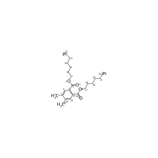 Cc1cc(C(=O)OCCCCCC(C)C)c(C(=O)OCCCCCC(C)C)cc1C